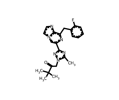 Cc1nc(-c2cn3ccnc3c(Cc3ccccc3F)n2)nn1CC(=O)C(C)(C)C